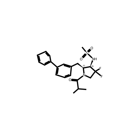 CC(C)C(=O)N1CC(F)(F)[C@H](NS(C)(=O)=O)[C@@H]1Cc1cccc(-c2ccccc2)c1